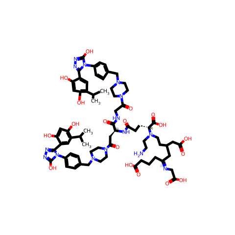 CC(C)c1cc(-c2nnc(O)n2-c2ccc(CN3CCN(C(=O)CNC(=O)[C@H](CC(=O)N4CCN(Cc5ccc(-n6c(O)nnc6-c6cc(C(C)C)c(O)cc6O)cc5)CC4)NC(=O)CC[C@H](C(=O)O)N(CCN)CCC(CC(=O)O)C/C(CCCC(=O)O)=N\CC(=O)O)CC3)cc2)c(O)cc1O